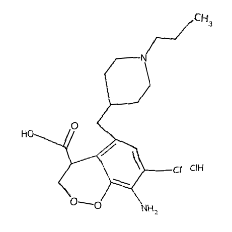 CCCN1CCC(Cc2cc(Cl)c(N)c3c2C(C(=O)O)COO3)CC1.Cl